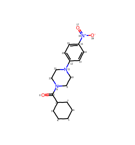 O=C(C1CCCCC1)N1CCN(c2ccc([N+](=O)[O-])cc2)CC1